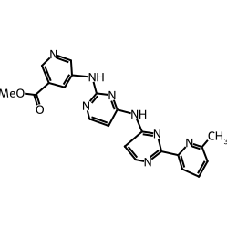 COC(=O)c1cncc(Nc2nccc(Nc3ccnc(-c4cccc(C)n4)n3)n2)c1